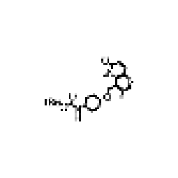 Cn1c(=O)ccc2ncc(F)c(CO[C@H]3CC[C@H](NC(=O)OC(C)(C)C)CC3)c21